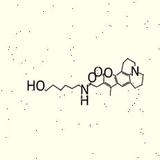 Cc1c(CC(=O)NCCCCCCO)c(=O)oc2c3c4c(cc12)CCCN4CCC3